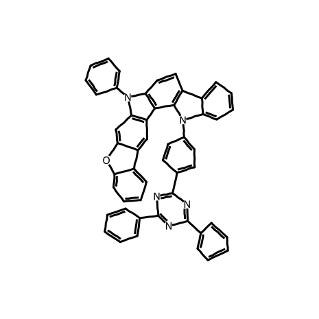 c1ccc(-c2nc(-c3ccccc3)nc(-c3ccc(-n4c5ccccc5c5ccc6c(c7cc8c(cc7n6-c6ccccc6)oc6ccccc68)c54)cc3)n2)cc1